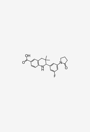 CC1(C)Cc2cc(C(=O)O)ccc2NC1c1cc(F)cc(N2CCCC2=O)c1